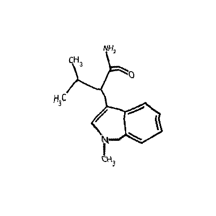 CC(C)C(C(N)=O)c1cn(C)c2ccccc12